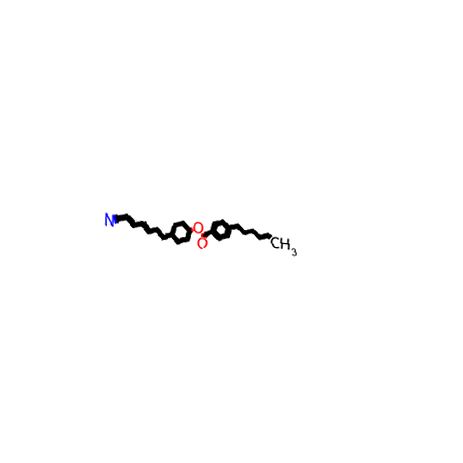 CCCCCCc1ccc(C(=O)OC2CCC(CCC=CC=CC#N)CC2)cc1